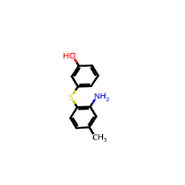 Cc1ccc(Sc2cccc(O)c2)c(N)c1